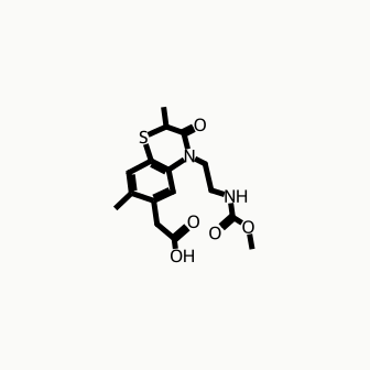 COC(=O)NCCN1C(=O)C(C)Sc2cc(C)c(CC(=O)O)cc21